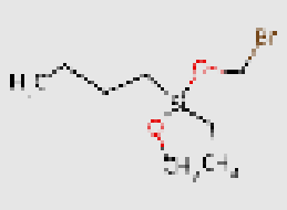 CCCC[Si](CC)(OC)OCBr